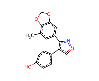 Cc1cc(-c2nocc2-c2ccc(O)cc2)cc2c1OCO2